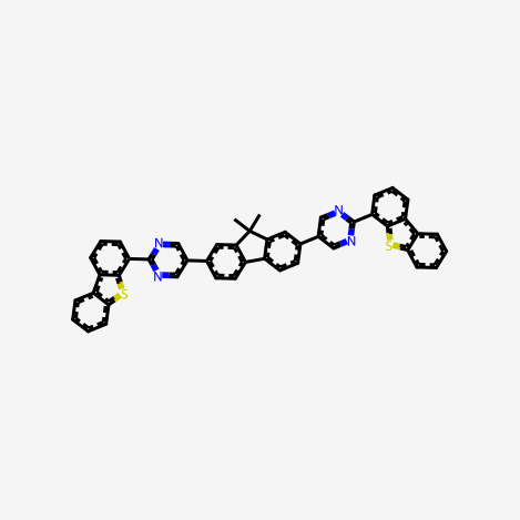 CC1(C)c2cc(-c3cnc(-c4cccc5c4sc4ccccc45)nc3)ccc2-c2ccc(-c3cnc(-c4cccc5c4sc4ccccc45)nc3)cc21